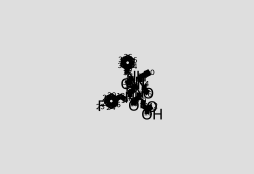 C#CCN1CC(=O)N2[C@@H](CCC(=O)O)C(=O)N(CCc3ccc(F)cc3)C[C@@H]2N1C(=O)NCc1ccccc1